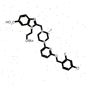 COCCn1c(CN2CCN(c3cccc(OCc4ccc(Cl)cc4F)n3)C[C@H]2C)nc2ccc(C(=O)O)cc21